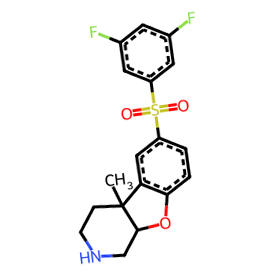 CC12CCNCC1Oc1ccc(S(=O)(=O)c3cc(F)cc(F)c3)cc12